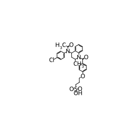 CC(=O)N(c1ccc(Cl)cc1)C1CC(C)N(C(=O)c2ccc(OCCCS(=O)(=O)O)cc2)c2ccccc21